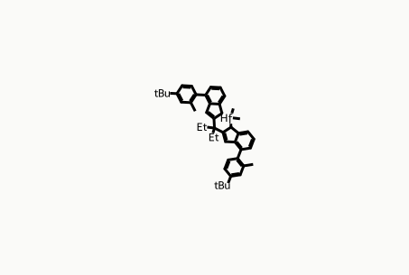 CCC1(CC)C2=Cc3c(-c4ccc(C(C)(C)C)cc4C)cccc3[CH]2[Hf]([CH3])([CH3])[CH]2C1=Cc1c(-c3ccc(C(C)(C)C)cc3C)cccc12